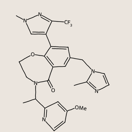 COc1ccnc(C(C)N2CCOc3c(cc(Cn4ccnc4C)cc3-c3cn(C)nc3C(F)(F)F)C2=O)c1